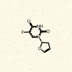 O=c1[nH]c(=O)n([C@H]2CC=CO2)cc1F